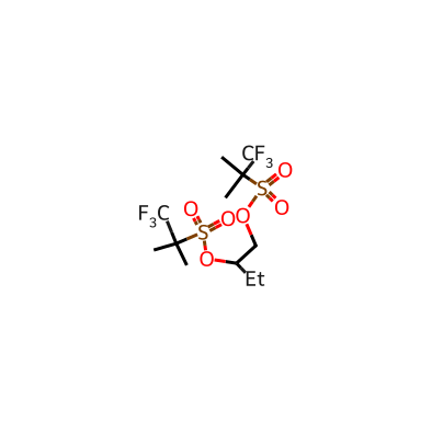 CCC(COS(=O)(=O)C(C)(C)C(F)(F)F)OS(=O)(=O)C(C)(C)C(F)(F)F